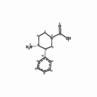 N[C@@H]1CCN(C(=O)O)C[C@@H]1c1ccccc1